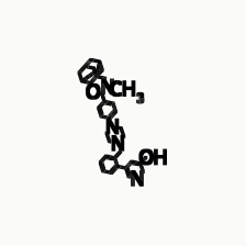 CN(CC12CC3CC(CC(C3)C1)C2)C(=O)c1ccc(N2CCN(Cc3ccccc3-c3cncc(O)c3)CC2)cc1